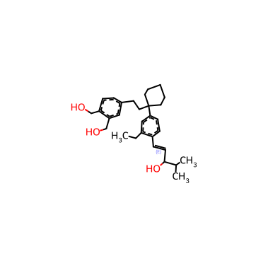 CCc1cc(C2(CCc3ccc(CO)c(CO)c3)CCCCC2)ccc1/C=C/C(O)C(C)C